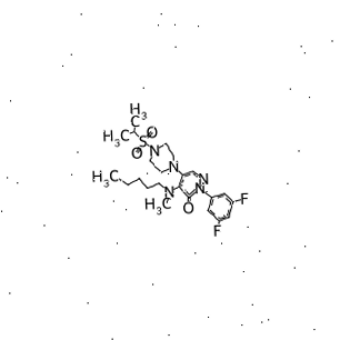 CCCCCN(C)c1c(N2CCN(S(=O)(=O)C(C)C)CC2)cnn(-c2cc(F)cc(F)c2)c1=O